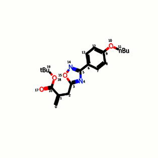 C=C(Cc1nc(-c2ccc(OCCCC)cc2)no1)C(=O)OC(C)(C)C